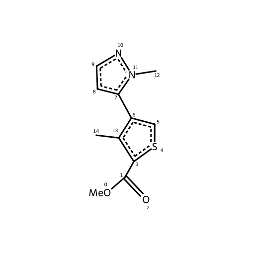 COC(=O)c1scc(-c2ccnn2C)c1C